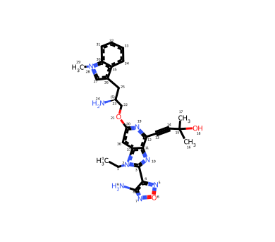 CCn1c(-c2nonc2N)nc2c(C#CC(C)(C)O)nc(OC[C@@H](N)Cc3cn(C)c4ccccc34)cc21